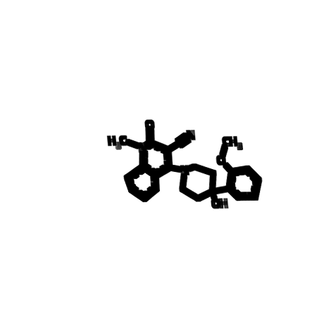 COc1ccccc1C1(O)CCN(c2c(C#N)c(=O)n(C)c3ccccc23)CC1